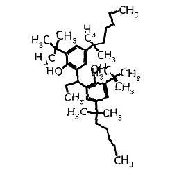 CCCCCC(C)(C)c1cc(C(CC)c2cc(C(C)(C)CCCCC)cc(C(C)(C)C)c2O)c(O)c(C(C)(C)C)c1